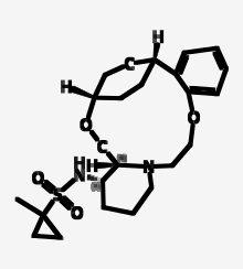 CC1(S(=O)(=O)N[C@H]2CCCN3CCOc4ccccc4[C@H]4CC[C@H](CC4)OC[C@@H]23)CC1